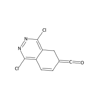 O=C=C1C=Cc2c(Cl)nnc(Cl)c2C1